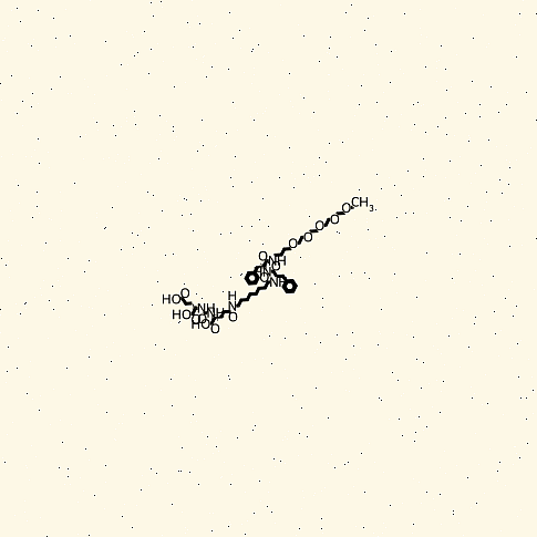 CCOCCOCCOCCOCCOCCCCNC(=O)[C@H](Cc1ccccc1)NC(=O)C(Cc1ccccc1)NC(=O)CCCCCCCNC(=O)CC[C@H](NC(=O)N[C@@H](CCC(=O)O)C(=O)O)C(=O)O